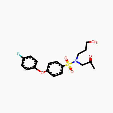 CC(=O)CN(CCCO)S(=O)(=O)c1ccc(Oc2ccc(F)cc2)cc1